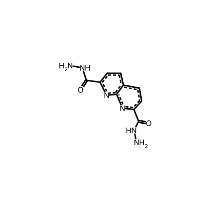 NNC(=O)c1ccc2ccc(C(=O)NN)nc2n1